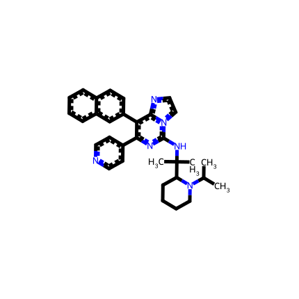 CC(C)N1CCCCC1C(C)(C)Nc1nc(-c2ccncc2)c(-c2ccc3ccccc3c2)c2nccn12